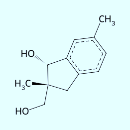 Cc1ccc2c(c1)[C@@H](O)[C@@](C)(CO)C2